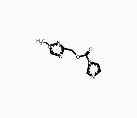 Cn1cnc(COC(=O)n2ccnc2)n1